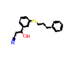 N#CCC(O)c1cccc(SCCCc2ccccc2)c1